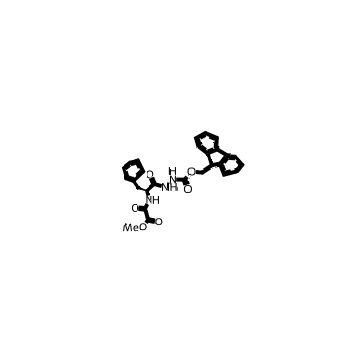 COC(=O)C(=O)N[C@@H](Cc1ccccc1)C(=O)NNC(=O)OCC1c2ccccc2-c2ccccc21